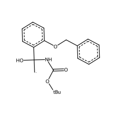 [CH2]C(O)(NC(=O)OC(C)(C)C)c1ccccc1OCc1ccccc1